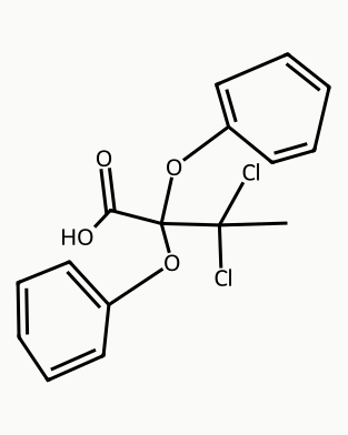 CC(Cl)(Cl)C(Oc1ccccc1)(Oc1ccccc1)C(=O)O